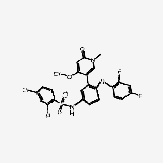 CCOc1cc(=O)n(C)cc1-c1cc(NS(=O)(=O)c2ccc(Cl)cc2Cl)ccc1Oc1ccc(F)cc1F